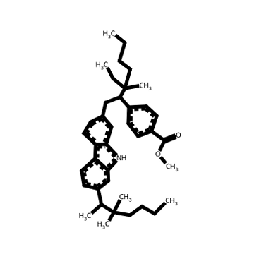 CCCCC(C)(C)C(C)c1ccc2c(c1)[nH]c1cc(CC(c3ccc(C(=O)OC)cc3)C(C)(CC)CCCC)ccc12